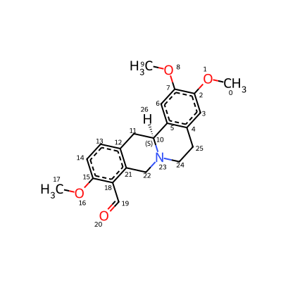 COc1cc2c(cc1OC)[C@@H]1Cc3ccc(OC)c(C=O)c3CN1CC2